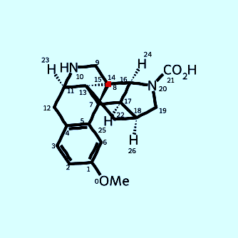 COc1ccc2c(c1)[C@]13CCN[C@H](C2)[C@]12CC[C@@H]1[C@H]3[C@@H](CN1C(=O)O)C2